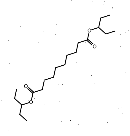 CCC(CC)OC(=O)CCCCCCCCC(=O)OC(CC)CC